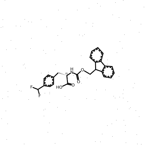 O=C(N[C@@H](Cc1ccc(C(F)F)cc1)C(=O)O)OCC1c2ccccc2-c2ccccc21